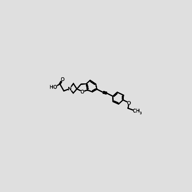 CCOc1ccc(C#Cc2ccc3c(c2)OC2(C3)CN(CC(=O)O)C2)cc1